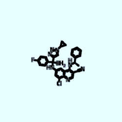 BC(Nc1cc(Cl)c2ncc(C#N)c(N[C@H](C)c3ccccc3)c2c1)(c1ccc(F)cc1)c1cn(C2CC2)nn1